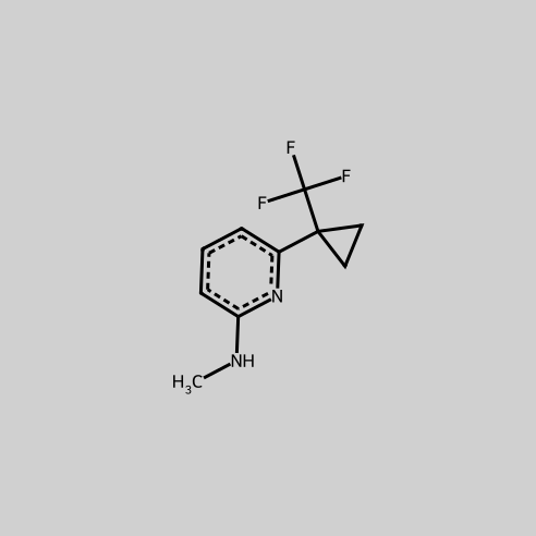 CNc1cccc(C2(C(F)(F)F)CC2)n1